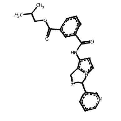 CC(C)COC(=O)c1cccc(C(=O)Nc2ccn3c2CSC3c2cccnc2)c1